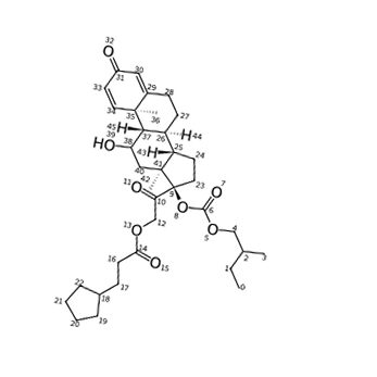 CCC(C)COC(=O)O[C@]1(C(=O)COC(=O)CCC2CCCC2)CC[C@H]2[C@@H]3CCC4=CC(=O)C=C[C@]4(C)[C@H]3C(O)C[C@@]21C